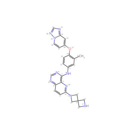 Cc1cc(Nc2ncnc3ccc(N4CC5(CNC5)C4)nc23)ccc1Oc1ccn2ncnc2c1